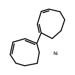 C1=CCCCCC(C2=CC=CCCCC2)=C1.[Ni]